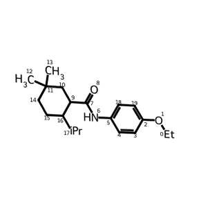 CCOc1ccc(NC(=O)C2CC(C)(C)CCC2C(C)C)cc1